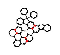 c1ccc(C2(c3ccccc3)c3ccccc3-c3c(N(c4ccccc4-c4ccc5oc6ccccc6c5c4)c4ccccc4-c4cccc5cccc(C6CCCCC6)c45)cccc32)cc1